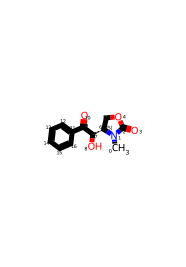 CN1C(=O)OC[C@H]1C(O)C(=O)c1ccccc1